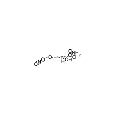 Nc1c(Cl)cc(C(O)CNCCCCCCOCCc2ccc(N3CCOCC3)cc2)cc1Cl